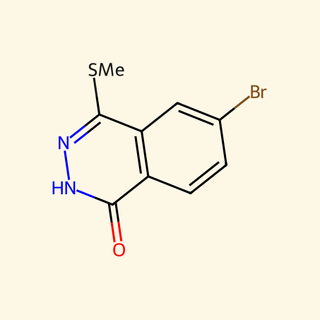 CSc1n[nH]c(=O)c2ccc(Br)cc12